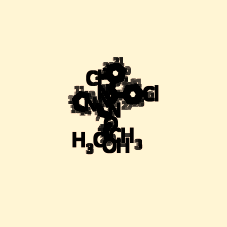 CC(C)(O)COc1cc(N2CCCCC2)n2nc(-c3ccccc3Cl)c(-c3ccc(Cl)cc3)c2n1